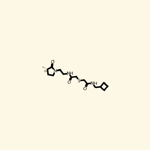 C[C@H]1CCN(CCNC(=O)CSCC(=O)NCC2CCC2)C1=O